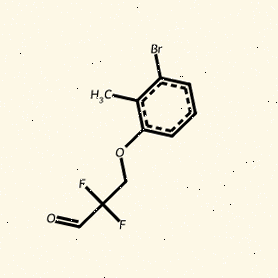 Cc1c(Br)cccc1OCC(F)(F)C=O